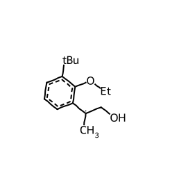 CCOc1c([C](C)CO)cccc1C(C)(C)C